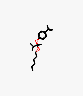 C=C(C)c1ccc(OC(C)(OCCCCCC)C(C)C)cc1